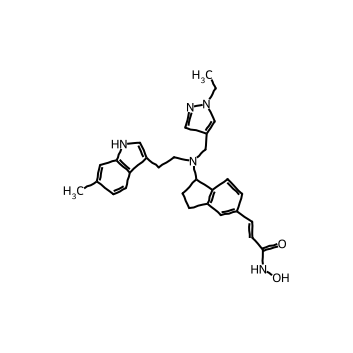 CCn1cc(CN(CCc2c[nH]c3cc(C)ccc23)C2CCc3cc(/C=C/C(=O)NO)ccc32)cn1